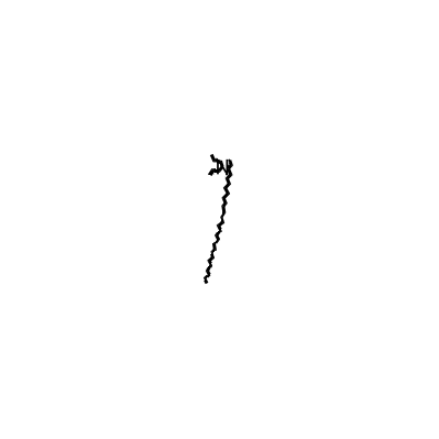 CCCCCCCCCCCCCCCCCCCCCCCCCC(CC)N(CCC)CCC